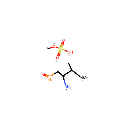 CNC(C)C(N)C[PH2]=O.COS(=O)(=O)O